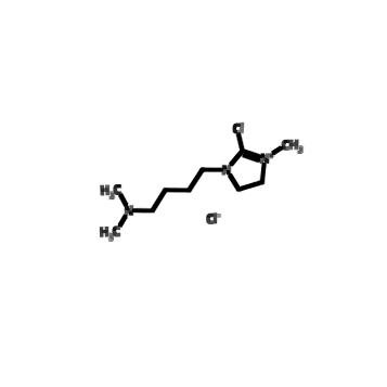 CN(C)CCCCN1CC[N+](C)=C1Cl.[Cl-]